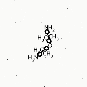 CC(C)(c1ccc(N)cc1)c1ccc(Oc2ccc(C(C)(C)c3ccc(N)cc3)cc2)cc1